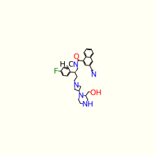 CN(C[C@@H](CCN1CC(N2CCNCC2CO)C1)c1ccc(F)cc1)C(=O)c1cc(C#N)cc2ccccc12